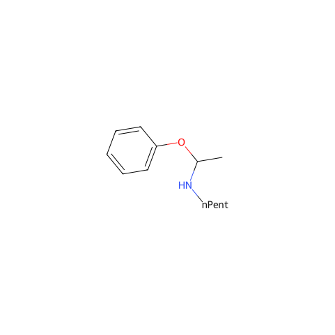 CCCCCNC(C)Oc1ccccc1